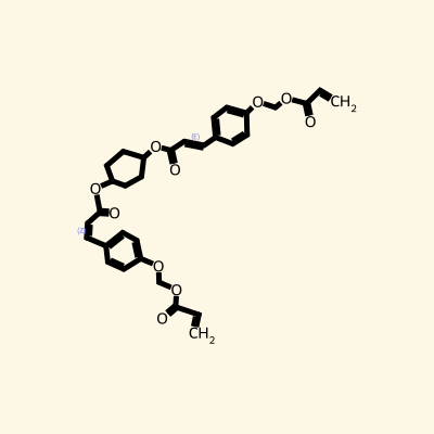 C=CC(=O)OCOc1ccc(/C=C\C(=O)OC2CCC(OC(=O)/C=C/c3ccc(OCOC(=O)C=C)cc3)CC2)cc1